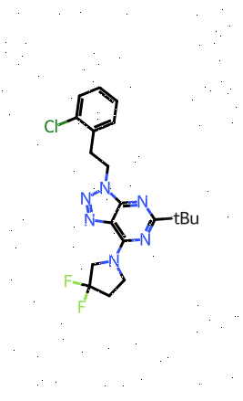 CC(C)(C)c1nc(N2CCC(F)(F)C2)c2nnn(CCc3ccccc3Cl)c2n1